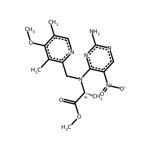 COC(=O)[C@@H](C)N(Cc1ncc(C)c(OC)c1C)c1nc(N)ncc1[N+](=O)[O-]